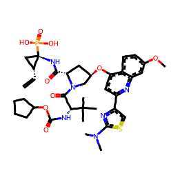 C=C[C@@H]1C[C@]1(NC(=O)[C@@H]1C[C@@H](Oc2cc(-c3csc(N(C)C)n3)nc3cc(OC)ccc23)CN1C(=O)[C@@H](NC(=O)OC1CCCC1)C(C)(C)C)P(=O)(O)O